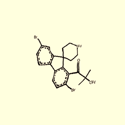 CC(C)(O)C(=O)c1c(Br)ccc2c1C1(CCNCC1)c1cc(Br)ccc1-2